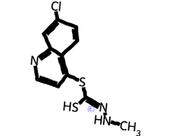 CN/N=C(\S)Sc1ccnc2cc(Cl)ccc12